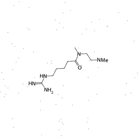 CNCCN(C)C(=O)CCCCNC(=N)N